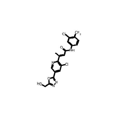 C/C(=C\C(=O)Nc1ccc(C(F)(F)F)c(Cl)c1)c1ncc(-c2nnc(CO)o2)cc1Cl